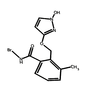 Cc1cccc(C(=O)NBr)c1COc1ccn(O)n1